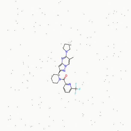 Cc1cn2nc([C@@H]3CCCCN3C(=O)c3cccc(C(F)(F)F)n3)cc2nc1N1CC[C@H](C)C1